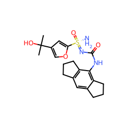 CC(C)(O)c1coc([S@@](N)(=O)=NC(=O)Nc2c3c(cc4c2CCC4)CCC3)c1